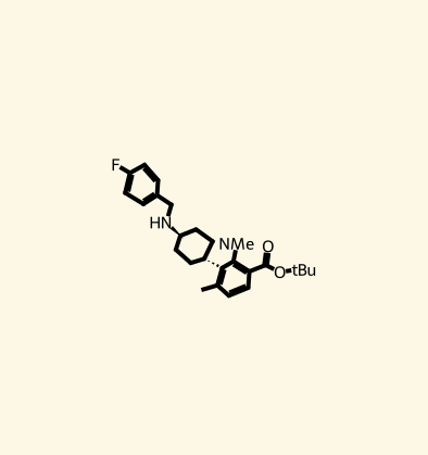 CNc1c(C(=O)OC(C)(C)C)ccc(C)c1[C@H]1CC[C@H](NCc2ccc(F)cc2)CC1